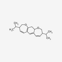 CC(C)C1C=CC2=C(CC3OCC(C(C)C)C=CC3=C2)OC1